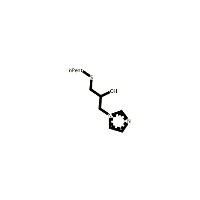 CCCCCSCC(O)Cn1ccnc1